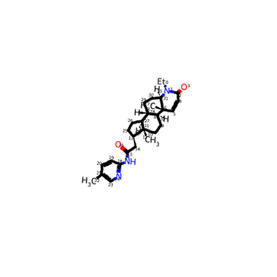 CCN1C(=O)C=C[C@]2(C)[C@H]3CC[C@]4(C)[C@@H](CC(=O)Nc5ccc(C)cn5)CC[C@H]4[C@@H]3CC[C@@H]12